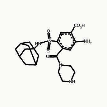 Nc1cc(C(=O)N2CCNCC2)c(S(=O)(=O)NC23CC4CC(CC(C4)C2)C3)cc1C(=O)O